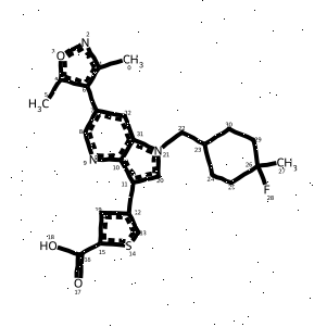 Cc1noc(C)c1-c1cnc2c(-c3csc(C(=O)O)c3)cn(CC3CCC(C)(F)CC3)c2c1